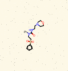 CC(C)N(CCS(=O)(=O)c1ccccc1)C(=O)NCCN1CCOCC1